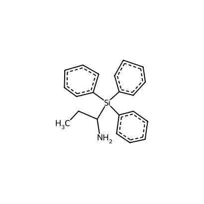 CCC(N)[Si](c1ccccc1)(c1ccccc1)c1ccccc1